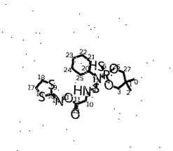 CC1(C)CO[P](S)(N(SNCC(=O)ON=C2SCCS2)C2CCCCC2)OC1